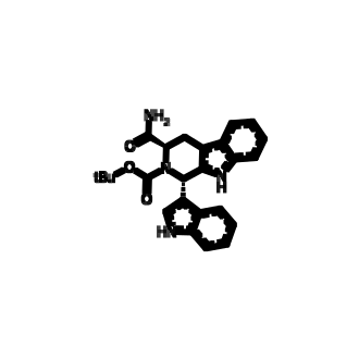 CC(C)(C)OC(=O)N1[C@@H](c2c[nH]c3ccccc23)c2[nH]c3ccccc3c2C[C@@H]1C(N)=O